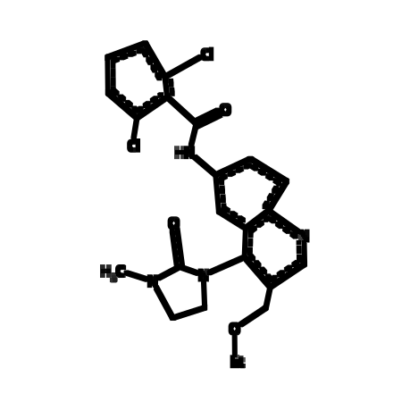 CCOCc1cnc2ccc(NC(=O)c3c(Cl)cccc3Cl)cc2c1N1CCN(C)C1=O